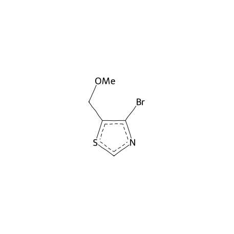 COCc1scnc1Br